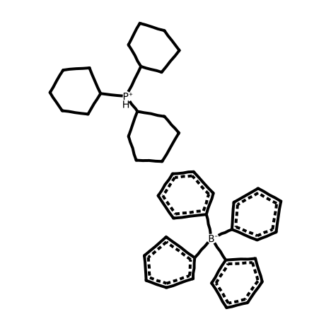 C1CCC([PH+](C2CCCCC2)C2CCCCC2)CC1.c1ccc([B-](c2ccccc2)(c2ccccc2)c2ccccc2)cc1